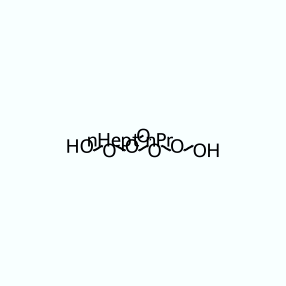 CCCCCCCOCCC.OCCOCCOCCOCCOCCO